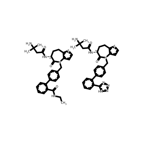 CC(C)(N)CC(=O)N[C@@H]1CCc2sccc2N(Cc2ccc(-c3ccccc3-c3nnn[nH]3)cc2)C1=O.CCNC(=O)c1ccccc1-c1ccc(CN2C(=O)[C@H](NC(=O)CC(C)(C)N)CCc3sccc32)cc1